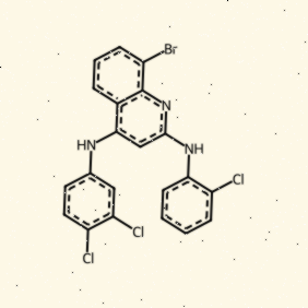 Clc1ccc(Nc2cc(Nc3ccccc3Cl)nc3c(Br)cccc23)cc1Cl